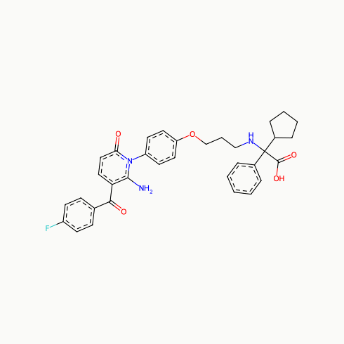 Nc1c(C(=O)c2ccc(F)cc2)ccc(=O)n1-c1ccc(OCCCNC(C(=O)O)(c2ccccc2)C2CCCC2)cc1